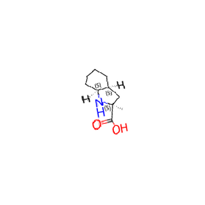 C[C@@]1(C(=O)O)C[C@@H]2CCCC[C@@H]2N1